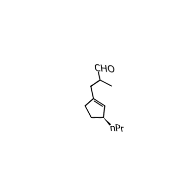 CCC[C@@H]1C=C(CC(C)C=O)CC1